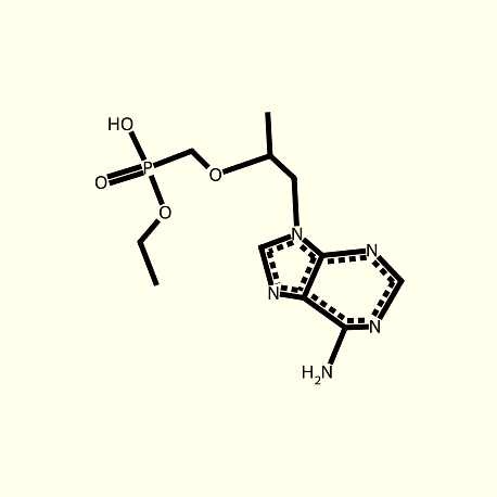 CCOP(=O)(O)COC(C)Cn1cnc2c(N)ncnc21